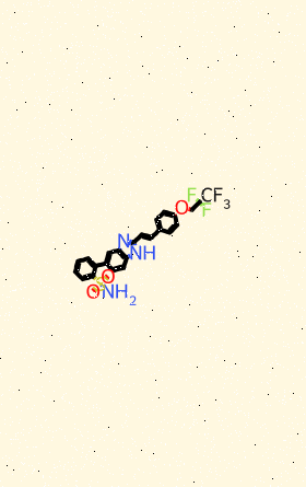 NS(=O)(=O)c1ccccc1-c1ccc2[nH]c(/C=C/c3ccc(OCC(F)(F)C(F)(F)F)cc3)nc2c1